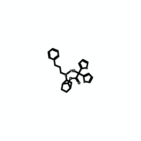 CN(CCCc1ccccc1)C1CC2CCC1C2OC(=O)C(O)(c1cccs1)c1cccs1